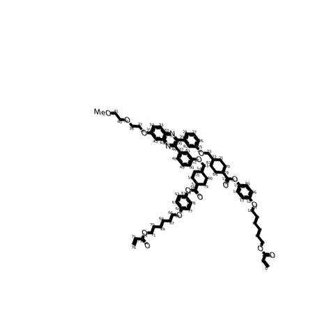 C=CC(=O)OCCCCCCOc1ccc(OC(=O)C2CCC(COc3cccc(-c4nc5ccc(OCCOCCOC)cc5nc4-c4cccc(OCC5CCC(C(=O)Oc6ccc(OCCCCCCOC(=O)C=C)cc6)CC5)c4)c3)CC2)cc1